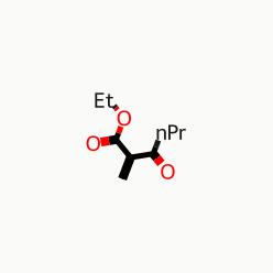 C=C(C(=O)CCC)C(=O)OCC